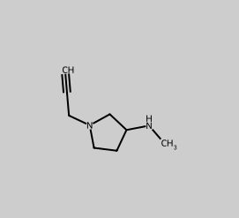 C#CCN1CCC(NC)C1